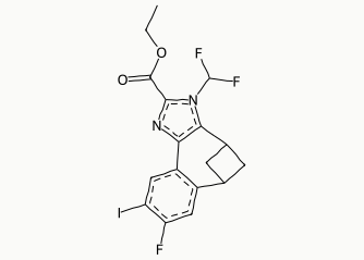 CCOC(=O)c1nc2c(n1C(F)F)C1CC(C1)c1cc(F)c(I)cc1-2